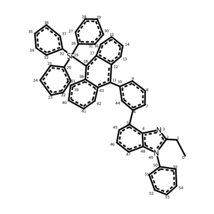 CCc1nc2c(-c3cccc(-c4c5ccccc5c([Si](c5ccccc5)(c5ccccc5)c5ccccc5)c5ccccc45)c3)cccc2n1-c1ccccc1